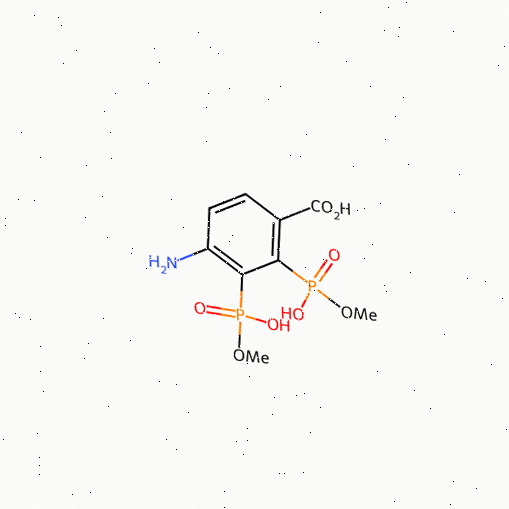 COP(=O)(O)c1c(N)ccc(C(=O)O)c1P(=O)(O)OC